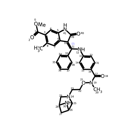 COC(=O)c1cc2c(cc1C)/C(=C(/Nc1ccc(C(=O)N(C)OCCN3CC4CC(C3)N4)cc1)c1ccccc1)C(=O)N2